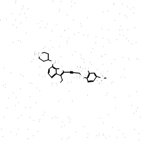 COc1cc(S(C)(=O)=O)ccc1NCC#Cc1sc2c(NC3CCNCC3)cccc2c1CC(F)(F)F